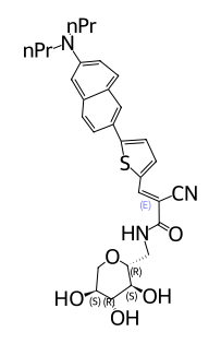 CCCN(CCC)c1ccc2cc(-c3ccc(/C=C(\C#N)C(=O)NC[C@H]4OC[C@H](O)[C@@H](O)[C@@H]4O)s3)ccc2c1